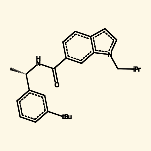 CC(C)Cn1ccc2ccc(C(=O)N[C@@H](C)c3cccc(C(C)(C)C)c3)cc21